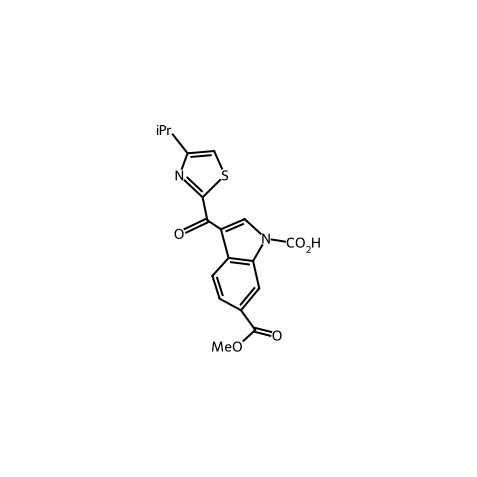 COC(=O)c1ccc2c(C(=O)c3nc(C(C)C)cs3)cn(C(=O)O)c2c1